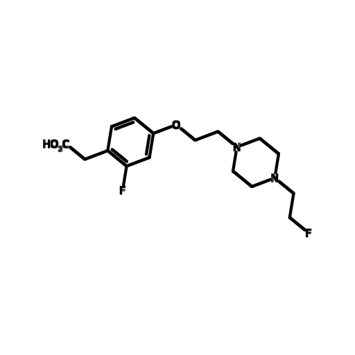 O=C(O)Cc1ccc(OCCN2CCN(CCF)CC2)cc1F